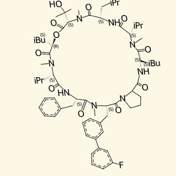 CC[C@H](C)[C@@H]1NC(=O)C2CCCN2C(=O)[C@H](Cc2cccc(-c3cccc(F)c3)c2)N(C)C(=O)[C@H](Cc2ccccc2)NC(=O)[C@H](C(C)C)N(C)C(=O)[C@@H]([C@@H](C)CC)OC(=O)[C@H](C(C)(C)O)N(C)C(=O)[C@H](CC(C)C)NC(=O)[C@H](C(C)C)N(C)C1=O